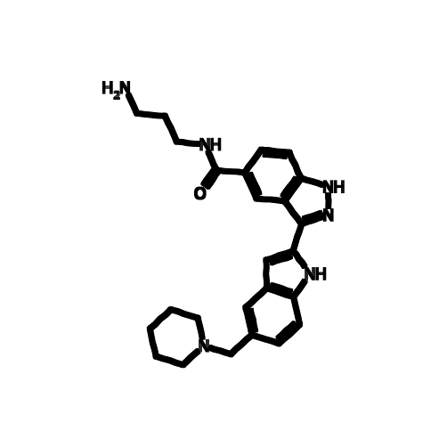 NCCCNC(=O)c1ccc2[nH]nc(-c3cc4cc(CN5CCCCC5)ccc4[nH]3)c2c1